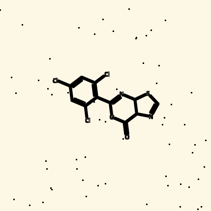 O=C1OC(c2c(Cl)cc(Cl)cc2Cl)=NC2SC=NC12